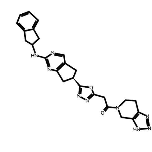 O=C(Cc1nnc([C@@H]2Cc3cnc(NC4Cc5ccccc5C4)nc3C2)o1)N1CCc2nn[nH]c2C1